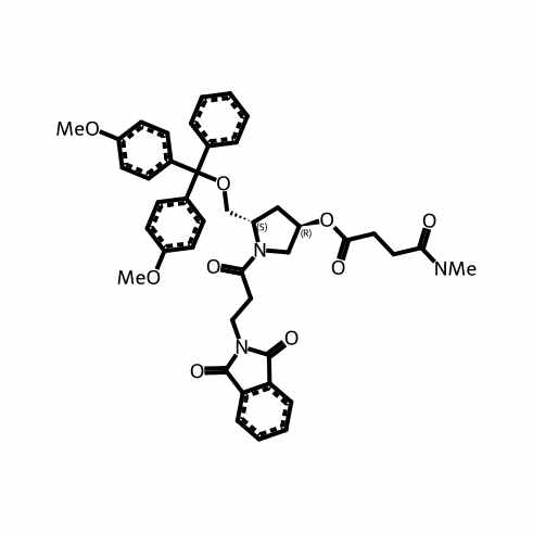 CNC(=O)CCC(=O)O[C@@H]1C[C@@H](COC(c2ccccc2)(c2ccc(OC)cc2)c2ccc(OC)cc2)N(C(=O)CCN2C(=O)c3ccccc3C2=O)C1